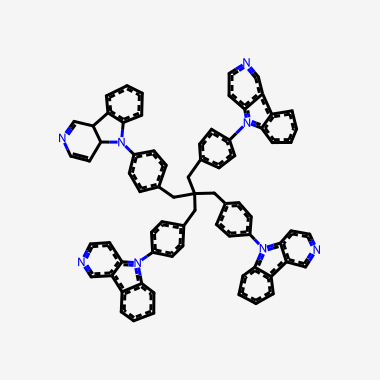 C1=CC2C(C=N1)c1ccccc1N2c1ccc(CC(Cc2ccc(-n3c4ccccc4c4cnccc43)cc2)(Cc2ccc(-n3c4ccccc4c4cnccc43)cc2)Cc2ccc(-n3c4ccccc4c4cnccc43)cc2)cc1